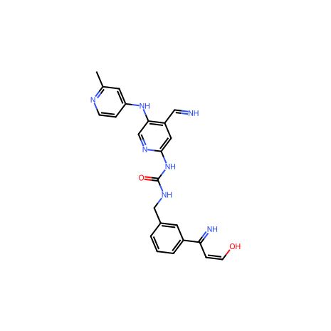 Cc1cc(Nc2cnc(NC(=O)NCc3cccc(C(=N)/C=C\O)c3)cc2C=N)ccn1